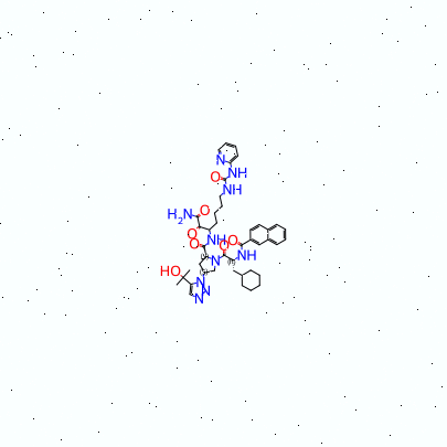 CC(C)(O)c1cnnn1[C@H]1C[C@@H](C(=O)NC(CCCCNC(=O)Nc2ccccn2)C(=O)C(N)=O)N(C(=O)[C@@H](CC2CCCCC2)NC(=O)c2ccc3ccccc3c2)C1